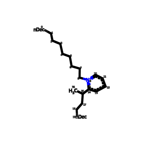 CCCCCCCCCCCCCCCCCC[n+]1ccccc1C(C)CCCCCCCCCCCC